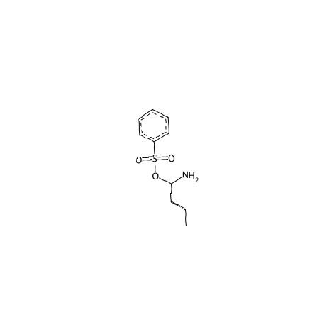 CCCC(N)OS(=O)(=O)c1ccccc1